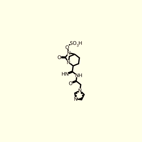 N=C(NC(=O)Cn1ccnc1)C1CCC2CN1C(=O)N2OS(=O)(=O)O